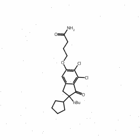 CCCCC1(C2CCCC2)Cc2cc(OCCCC(N)=O)c(Cl)c(Cl)c2C1=O